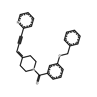 O=C(c1cccc(OCc2ccccc2)c1)N1CCC(=CC#Cc2ccccn2)CC1